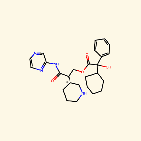 O=C(Nc1cnccn1)C(COC(=O)C(O)(c1ccccc1)C1CCCCC1)[C@H]1CCCNC1